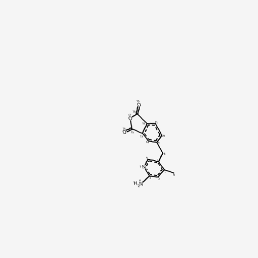 Cc1cc(N)ncc1Cc1ccc2c(c1)C(=O)OC2=O